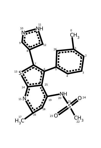 Cc1cccc(-c2c(-c3cn[nH]c3)sc3nc(C)cc(NS(C)(=O)=O)c23)c1